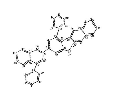 c1ccc(-c2nc(-c3cc(-c4ccccc4)c4c(c3)oc3cc5ccccc5cc34)nc3ccccc23)cc1